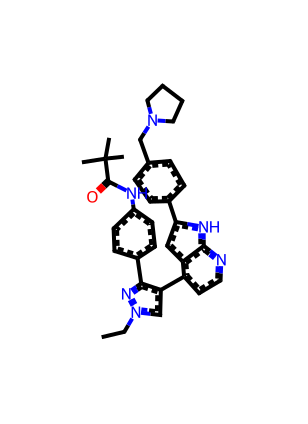 CCn1cc(-c2ccnc3[nH]c(-c4ccc(CN5CCCC5)cc4)cc23)c(-c2ccc(NC(=O)C(C)(C)C)cc2)n1